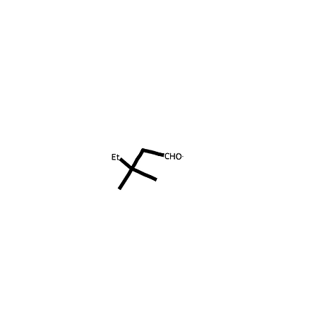 CCC(C)(C)C[C]=O